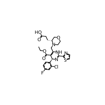 CCOC(=O)C1=C(CN2CCOC[C@H]2CCC(=O)O)NC(c2nccs2)=N[C@H]1c1ccc(F)cc1Cl